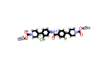 CC(C)(C)OC(=O)N1CC=C(c2ccc(C(=O)Nc3ccc(C4=CCN(C(=O)OC(C)(C)C)CC4)c(Cl)c3)cc2F)CC1